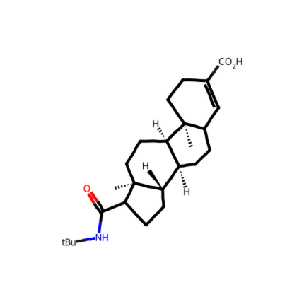 CC(C)(C)NC(=O)C1CC[C@H]2[C@@H]3CCC4C=C(C(=O)O)CC[C@]4(C)[C@@H]3CC[C@]12C